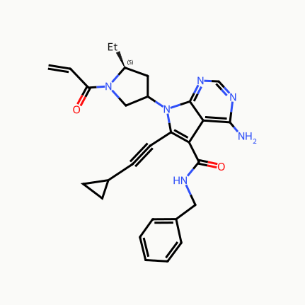 C=CC(=O)N1CC(n2c(C#CC3CC3)c(C(=O)NCc3ccccc3)c3c(N)ncnc32)C[C@@H]1CC